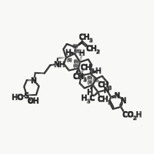 C=C(C)[C@@H]1CC[C@]2(CNCCCN3CCS(O)(O)CC3)CC[C@]3(C)[C@H](CC[C@@H]4[C@@]5(C)CCN(c6ccc(C(=O)O)nn6)C(C)(C)[C@@H]5CC[C@]43C)[C@@H]12